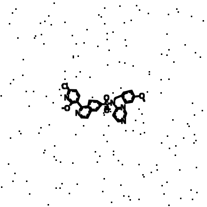 COc1ccc(CN(c2ccncn2)S(=O)(=O)c2ccc3c(-c4ccc(Cl)nc4OC)nccc3c2)cc1